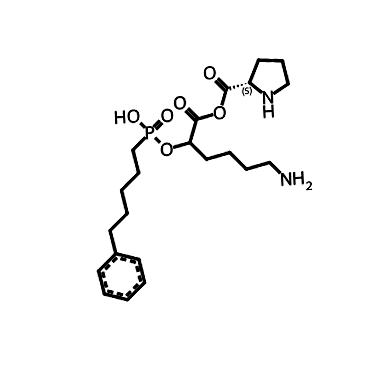 NCCCCC(OP(=O)(O)CCCCCc1ccccc1)C(=O)OC(=O)[C@@H]1CCCN1